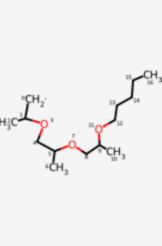 [CH2]C(C)OCC(C)OCC(C)OCCCCC